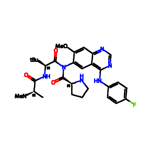 CN[C@@H](C)C(=O)N[C@H](C(=O)N(C(=O)[C@@H]1CCCN1)c1cc2c(Nc3ccc(F)cc3)ncnc2cc1OC)C(C)(C)C